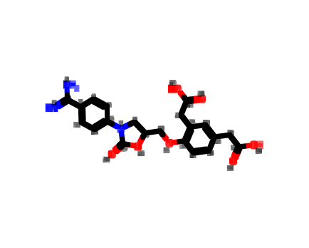 N=C(N)c1ccc(N2CC(COc3ccc(CC(=O)O)cc3CC(=O)O)OC2=O)cc1